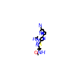 CC(=O)NC12CC(c3nnc(-c4cnc(-c5ccc6cc(C#N)cnn56)cc4NC(C)C)s3)(C1)C2